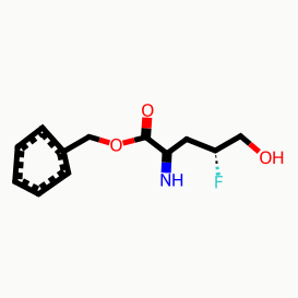 N=C(C[C@@H](F)CO)C(=O)OCc1ccccc1